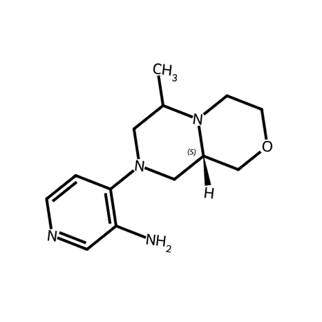 CC1CN(c2ccncc2N)C[C@H]2COCCN12